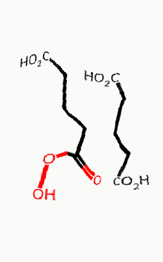 O=C(O)CCCC(=O)O.O=C(O)CCCC(=O)OO